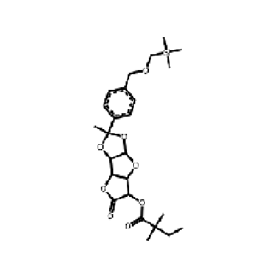 CCC(C)(C)C(=O)OC1C(=O)OC2C3OC(C)(c4ccc(COC[Si](C)(C)C)cc4)OC3OC12